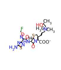 CC(O)C[N+](C)(C)C/C=C/C1=C(C(=O)[O-])N2C(=O)[C@@H](NC(=O)/C(=N\OCF)c3nsc(N)n3)[C@@H]2SC1